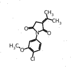 COc1cc(N2C(=O)CC(=C(C)C)C2=O)ccc1Cl